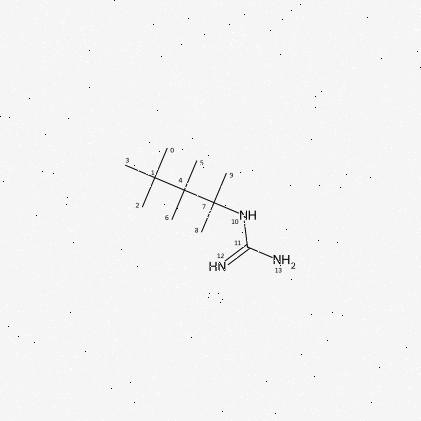 CC(C)(C)C(C)(C)C(C)(C)NC(=N)N